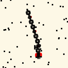 Cc1ccc(C23CC(c4ccc(-c5ccc(C67CC(c8ccc(-c9ccc(C%10%11CC(C%10)[C@@H](c%10ccc(B%12OC(C)(C)C(C)(C)O%12)cc%10)C%11)cc9)cc8)(C6)C7)cc5)cc4)(C2)C3)cc1